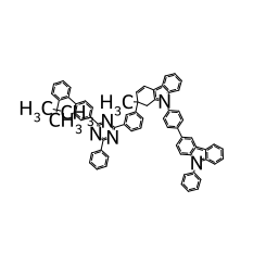 CC(C)(C)c1ccccc1-c1ccc(-c2nc(-c3ccccc3)nc(-c3cccc(C4(C)C=Cc5c(n(-c6ccc(-c7ccc8c(c7)c7ccccc7n8-c7ccccc7)cc6)c6ccccc56)C4)c3)n2)cc1